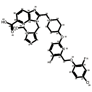 CCn1cncc1Cn1c(CN2CCC(Oc3ccc(F)c(COc4ccc(Cl)cc4F)n3)CC2)nc2ccc(C(=O)O)nc21